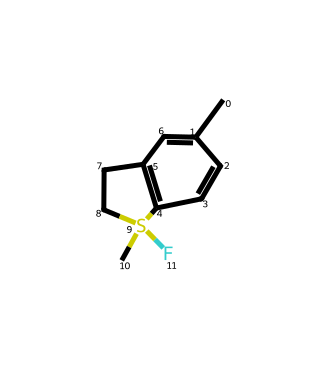 Cc1ccc2c(c1)CCS2(C)F